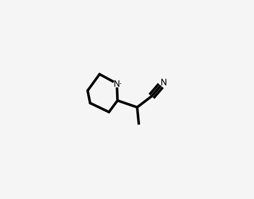 CC(C#N)C1CCCC[N]1